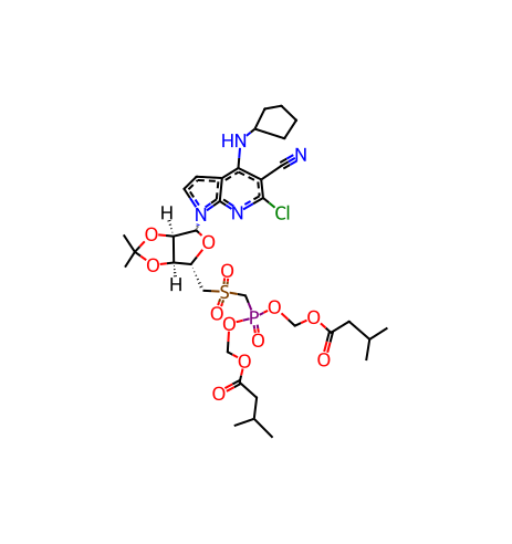 CC(C)CC(=O)OCOP(=O)(CS(=O)(=O)C[C@H]1O[C@@H](n2ccc3c(NC4CCCC4)c(C#N)c(Cl)nc32)[C@@H]2OC(C)(C)O[C@@H]21)OCOC(=O)CC(C)C